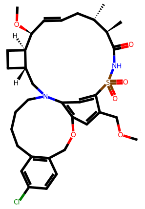 COCc1cc2c3cc1S(=O)(=O)NC(=O)[C@H](C)[C@@H](C)C/C=C/[C@H](OC)[C@@H]1CC[C@H]1CN3CCCCc1cc(Cl)ccc1CO2